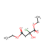 CCOC(=O)CC(O)(Cl)C(=O)OCC